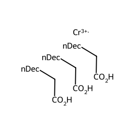 CCCCCCCCCCCC(=O)O.CCCCCCCCCCCC(=O)O.CCCCCCCCCCCC(=O)O.[Cr+3]